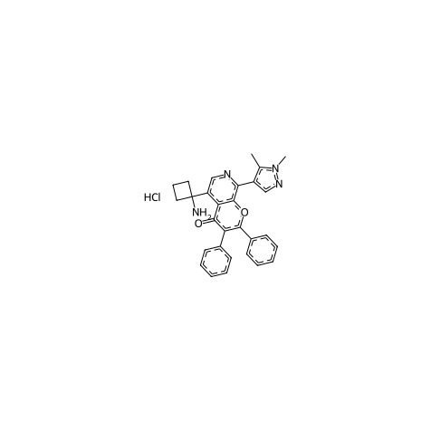 Cc1c(-c2ncc(C3(N)CCC3)c3c(=O)c(-c4ccccc4)c(-c4ccccc4)oc23)cnn1C.Cl